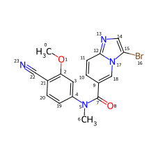 COc1cc(N(C)C(=O)c2ccc3ncc(Br)n3c2)ccc1C#N